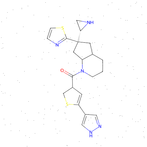 O=C(C1C=C(c2cn[nH]c2)SC1)N1CCCC2CC(c3nccs3)([C@@H]3CN3)CC21